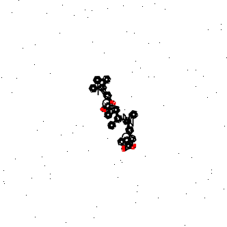 c1ccc(-c2cc(-c3cc(-c4ccc(-c5cccc6c5Oc5ccccc5C65c6ccccc6-c6ccccc65)cc4)nc(-c4ccccc4)n3)cc(-c3cccc4c3-c3ccccc3C43c4ccccc4Oc4c(-c5ccc(-c6cc(-c7ccccc7-c7ccccc7)nc(-c7ccccc7)n6)cc5)cccc43)c2)cc1